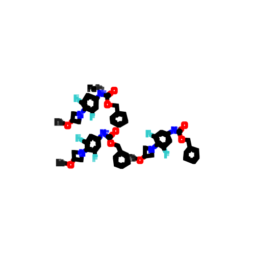 CCOC1CN(c2c(F)cc([N-]C(=O)OCc3ccccc3)cc2F)C1.CCOC1CN(c2c(F)cc([N-]C(=O)OCc3ccccc3)cc2F)C1.CCOC1CN(c2c(F)cc([N-]C(=O)OCc3ccccc3)cc2F)C1.[Fe+3]